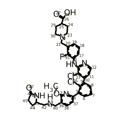 COc1nc(-c2cccc(-c3ccnc(Nc4cccc(CN5CCC(C(=O)O)CC5)c4F)c3Cl)c2Cl)ccc1CNCC1CCC(=O)N1